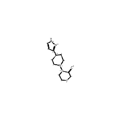 O=C1COCCN1N1CCC(c2cc[nH]n2)CC1